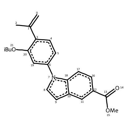 C=C(C)c1ccc(-n2ccc3cc(C(=O)OC)ccc32)cc1OCC(C)C